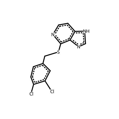 Clc1ccc(CSc2nccc3[nH]cnc23)cc1Cl